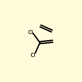 C=C.C=C(Cl)Cl